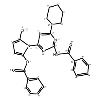 O=Cc1ccc(OC(=O)c2ccccc2)n1-c1nc(NC(=O)c2ccccc2)nc(N2CCCCC2)n1